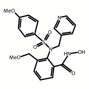 COCc1cccc(C(=O)NO)c1N(Cc1cccnc1)S(=O)(=O)c1ccc(OC)cc1